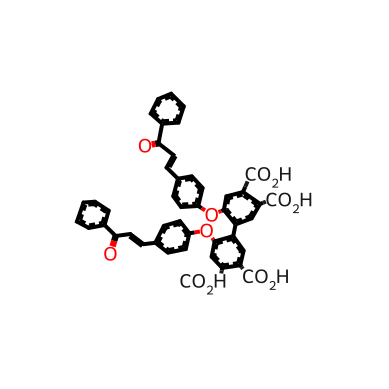 O=C(C=Cc1ccc(Oc2cc(C(=O)O)c(C(=O)O)cc2-c2cc(C(=O)O)c(C(=O)O)cc2Oc2ccc(C=CC(=O)c3ccccc3)cc2)cc1)c1ccccc1